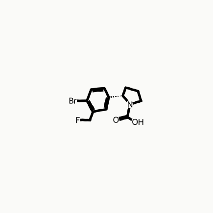 O=C(O)N1CCC[C@H]1c1ccc(Br)c(CF)c1